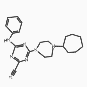 N#Cc1nc(Nc2ccccc2)nc(N2CCN(C3CCCCCC3)CC2)n1